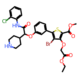 CCOC(=O)COc1c(C(=O)OC)sc(-c2cccc(OC(C(=O)Nc3ccccc3Cl)C3CCNCC3)c2)c1Br